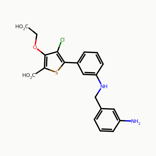 Nc1cccc(CNc2cccc(-c3sc(C(=O)O)c(OCC(=O)O)c3Cl)c2)c1